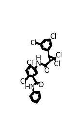 O=C(Nc1ccccc1)c1cc(NC(=O)C2C(c3cc(Cl)cc(Cl)c3)C2(Cl)Cl)c(Cl)cc1Cl